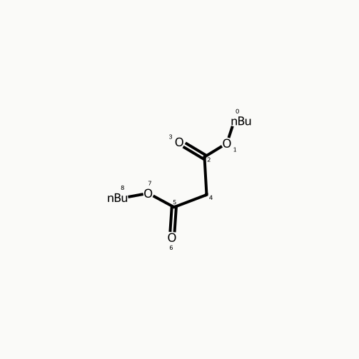 CCCCOC(=O)CC(=O)OCCCC